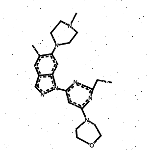 CCc1nc(N2CCOCC2)cc(-n2ncc3cc(C)c(N4CCN(C)CC4)cc32)n1